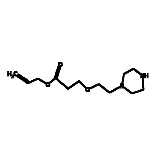 C=CCOC(=O)CCOCCN1CCNCC1